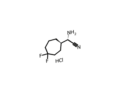 Cl.N#C[C@@H](N)[C@@H]1CCCC(F)(F)CC1